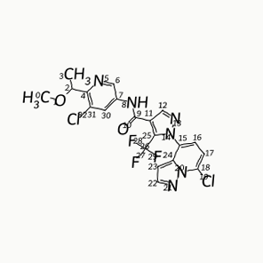 COC(C)c1ncc(NC(=O)c2cnn(-c3ccc(Cl)n4nccc34)c2C(F)(F)F)cc1Cl